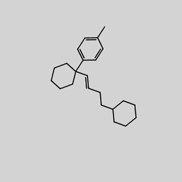 Cc1ccc(C2(/C=C/CCC3CCCCC3)CCCCC2)cc1